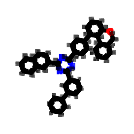 c1ccc(-c2cccc(-c3nc(-c4ccc(-c5cccc6c5-c5ccccc5CO6)cc4)nc(-c4ccc5ccccc5c4)n3)c2)cc1